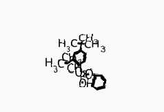 CC(C)(C)c1ccc(OP(O)Oc2ccccc2)c(C(C)(C)C)c1